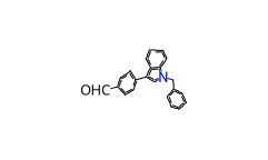 O=Cc1ccc(-c2cn(Cc3ccccc3)c3ccccc23)cc1